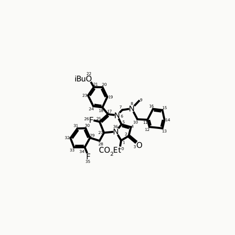 CCOC(=O)C1C(=O)C=C2N(CN(C)Cc3ccccc3)C(c3ccc(OCC(C)C)cc3)=C(F)C(Cc3ccccc3F)N21